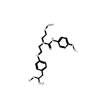 CCCCCOCCN(CCOc1ccc(CC(OCC)C(=O)O)cc1)C(=O)Nc1ccc(OC(F)(F)F)cc1